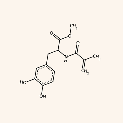 C=C(C)C(=O)NC(Cc1ccc(O)c(O)c1)C(=O)OC